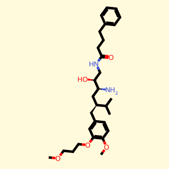 COCCCOc1cc(C[C@@H](C[C@H](N)[C@@H](O)CNC(=O)CCCc2ccccc2)C(C)C)ccc1OC